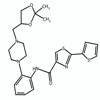 CC1(C)OCC(CN2CCN(c3ccccc3NC(=O)c3csc(-c4cccs4)n3)CC2)O1